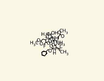 CC[C@H](C)[C@H](NC(=O)OCc1ccccc1)C(=O)N[C@@H](CCC(=O)OC)C(=O)N[C@H](C(=O)NC(CC(=O)OC)C(=O)CF)[C@@H](C)O